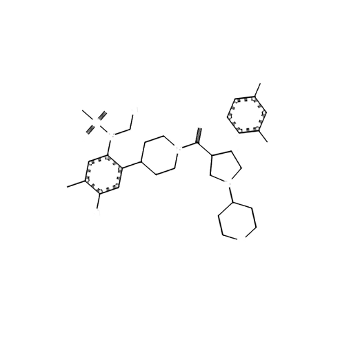 Cc1cc(N(CC(F)(F)F)S(C)(=O)=O)c(C2CCN(C(=O)C3CN(C4CCOCC4)C[C@H]3c3ccc(F)cc3F)CC2)cc1Cl